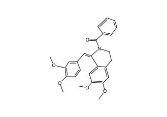 COc1ccc(C=C2c3cc(OC)c(OC)cc3CCN2C(=O)c2ccccc2)cc1OC